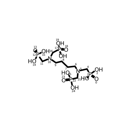 O=P(O)(O)CN(CCCCN(CP(=O)(O)O)CP(=O)(O)O)CP(=O)(O)O